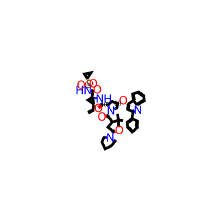 C=CC1C[C@]1(NC(=O)[C@@H]1C[C@@H](Oc2cc(-c3ccccc3)nc3ccccc23)CN1C(=O)C(CC(=O)N1CCCCC1)C(C)(C)C)C(=O)NS(=O)(=O)C1CC1